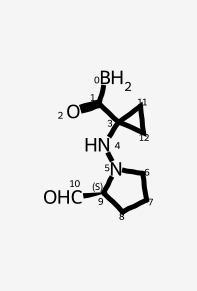 BC(=O)C1(NN2CCC[C@H]2C=O)CC1